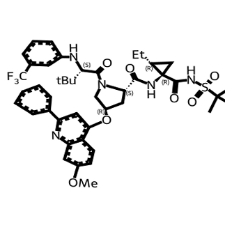 CC[C@@H]1C[C@]1(NC(=O)[C@@H]1C[C@@H](Oc2cc(-c3ccccc3)nc3cc(OC)ccc23)CN1C(=O)[C@@H](Nc1cccc(C(F)(F)F)c1)C(C)(C)C)C(=O)NS(=O)(=O)C1(C)CC1